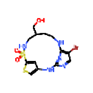 O=S1(=O)NCC(CO)CCNc2nc(ncc2Br)Nc2csc1c2